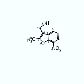 Cc1oc2c([N+](=O)[O-])cccc2c1CO